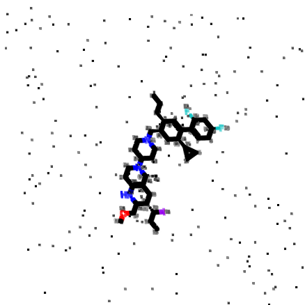 CCC[C@H]1C=C(C2=CC[C@H](F)C[C@@H]2F)[C@@H](C2CC2)C[C@H]1CN1CCC(N2CCC3=C(C[C@H](C(I)CC)C(COC)N3)[C@H]2C)CC1